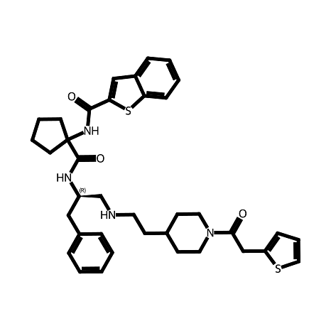 O=C(NC1(C(=O)N[C@@H](CNCCC2CCN(C(=O)Cc3cccs3)CC2)Cc2ccccc2)CCCC1)c1cc2ccccc2s1